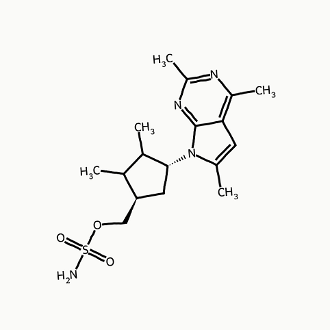 Cc1nc(C)c2cc(C)n([C@@H]3C[C@@H](COS(N)(=O)=O)C(C)C3C)c2n1